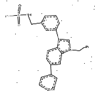 CC(C)Cn1cc(-c2cccc(CNS(=O)(=O)C(C)C)c2)c2ccc(-c3ccccc3)cc21